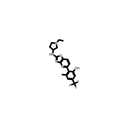 CCN1CCC(Nc2nc3nc(-c4c(C)cc(C(F)(F)F)cc4O)ccc3o2)C1